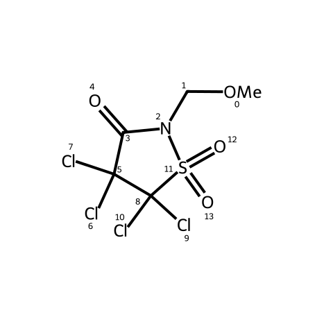 COCN1C(=O)C(Cl)(Cl)C(Cl)(Cl)S1(=O)=O